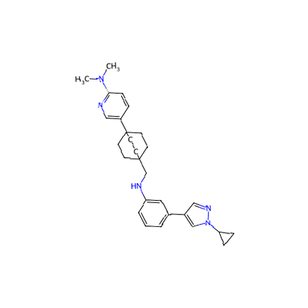 CN(C)c1ccc(C23CCC(CNc4cccc(-c5cnn(C6CC6)c5)c4)(CC2)CC3)cn1